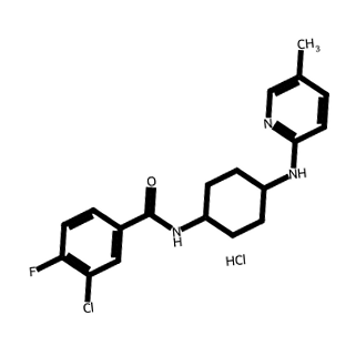 Cc1ccc(NC2CCC(NC(=O)c3ccc(F)c(Cl)c3)CC2)nc1.Cl